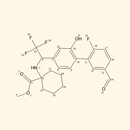 COC(=O)C1(NC(c2ccc(-c3cc(C=O)ccc3F)c(O)c2)C(F)(F)F)CCCCC1